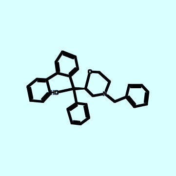 OC(c1ccccc1)(c1ccccc1-c1ccccc1)[C@@H]1CN(Cc2ccccc2)CCO1